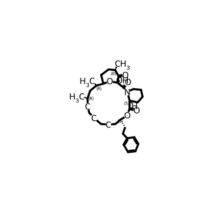 C[C@@H]1CCCCCC[C@@H](CCc2ccccc2)OC(=O)[C@@H]2CCCCN2C(=O)C2(O)OC(CC[C@@H](C)C2=O)[C@H](C)C1